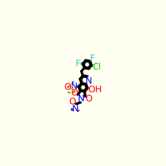 CN(C)C(=O)CN1Cc2c(c(O)c3ncc(Cc4cc(Cl)c(F)cc4F)cc3c2N(C)S(C)(=O)=O)C1=O